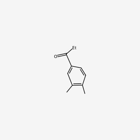 CCC(=O)c1ccc(C)c(C)c1